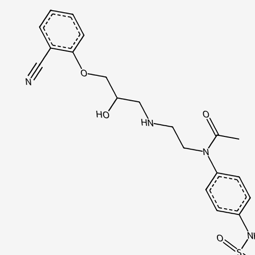 CC(=O)N(CCNCC(O)COc1ccccc1C#N)c1ccc(NS(C)(=O)=O)cc1